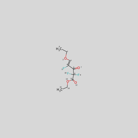 CCOC=C(F)C(=O)C(F)(F)C(=O)OCC